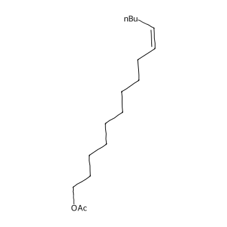 CCCC/C=C\CCCCCCCCCOC(C)=O